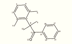 Cc1cccc(C)c1C(C)(C)C(=O)c1ccccc1